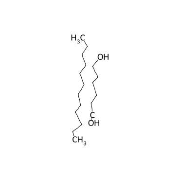 CCCCCCCCCCCC.OCCCCCCO